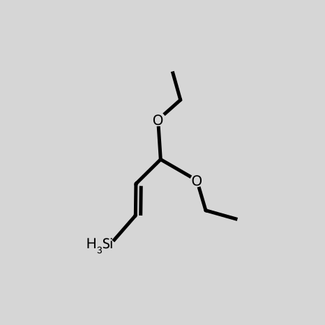 CCOC(C=C[SiH3])OCC